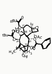 CC(=O)O[C@@]12CO[C@@H]1C[C@H](OC(=O)C(C)(C)C)[C@]1(C)C2[C@H](OC(=O)c2ccccc2)[C@]2(O)C[C@H](O)C(C)=C([C@@H](OC(=O)C(C)(C)C)[C@@H]1O)C2(C)C